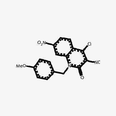 [C-]#[N+]c1c(Cl)c2ccc([N+](=O)[O-])cc2n(Cc2ccc(OC)cc2)c1=O